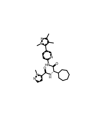 Cc1nn(C)c(-c2ccc(NC(=O)[C@@H](NC(=O)c3ccnn3C)C3CCCCCC3)nc2)c1C